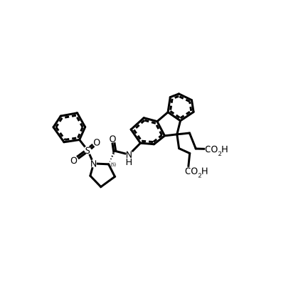 O=C(O)CCC1(CCC(=O)O)c2ccccc2-c2ccc(NC(=O)[C@@H]3CCCN3S(=O)(=O)c3ccccc3)cc21